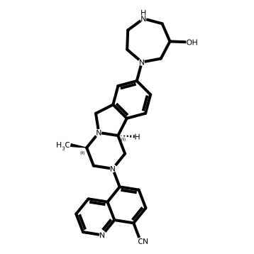 C[C@@H]1CN(c2ccc(C#N)c3ncccc23)C[C@@H]2c3ccc(N4CCNCC(O)C4)cc3CN12